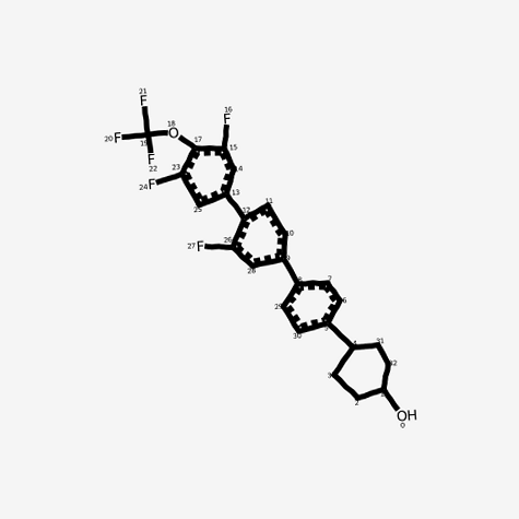 OC1CCC(c2ccc(-c3ccc(-c4cc(F)c(OC(F)(F)F)c(F)c4)c(F)c3)cc2)CC1